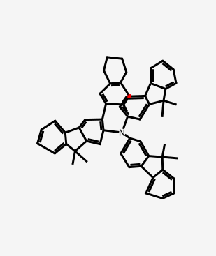 Cc1cc2c(cc1-c1cc3c(cc1N(c1ccc4c(c1)C(C)(C)c1ccccc1-4)c1ccc4c(c1)C(C)(C)c1ccccc1-4)C(C)(C)c1ccccc1-3)CCCC2